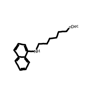 CCCCCCCCCCCCCCCCNc1cccc2ccccc12